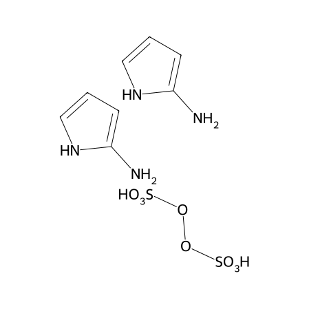 Nc1ccc[nH]1.Nc1ccc[nH]1.O=S(=O)(O)OOS(=O)(=O)O